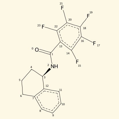 O=C(N[C@@H]1CCCc2ccccc21)c1c(F)c(F)c(F)c(F)c1F